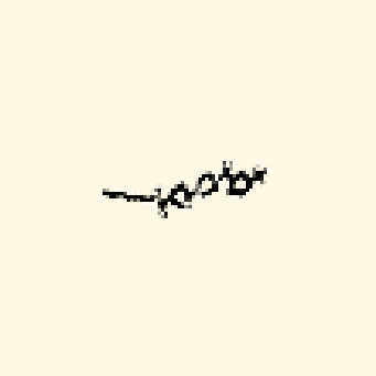 CCCCCCNC(=O)c1ccc(N2CCN(C(=O)c3cccc(C(F)(F)F)c3)CC2)nc1